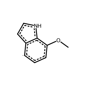 COc1cc[c]c2cc[nH]c12